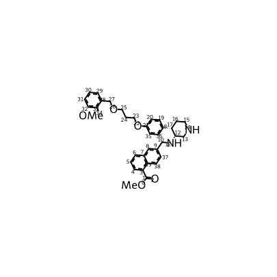 COC(=O)c1cccc2cc(CN[C@H]3CNCC[C@H]3c3ccc(OCCCOCc4ccccc4OC)cc3)ccc12